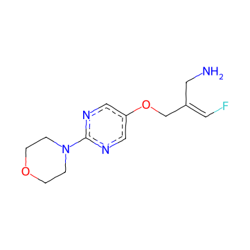 NC/C(=C\F)COc1cnc(N2CCOCC2)nc1